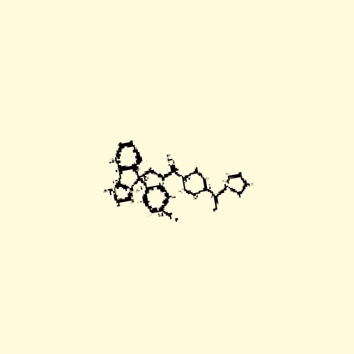 CC(C1CCN(C(=O)CCC2(c3ccc(F)cc3)c3ccccc3-c3nccn32)CC1)N1CCCC1